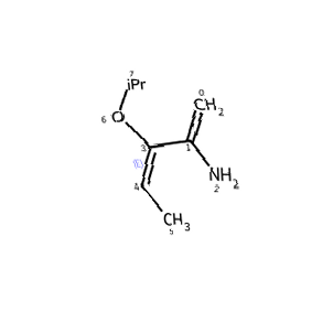 C=C(N)/C(=C\C)OC(C)C